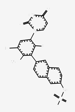 COc1c(Br)cc(-n2ccc(=O)[nH]c2=O)c(F)c1-c1ccc2cc(NS(C)(=O)=O)ccc2c1